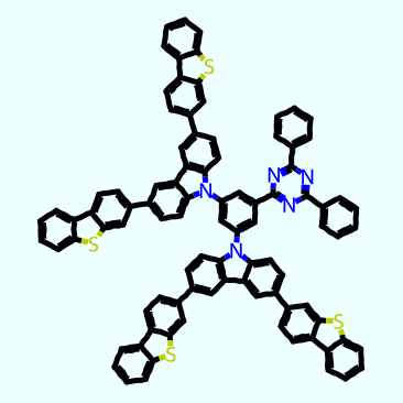 c1ccc(-c2nc(-c3ccccc3)nc(-c3cc(-n4c5ccc(-c6ccc7c(c6)sc6ccccc67)cc5c5cc(-c6ccc7c(c6)sc6ccccc67)ccc54)cc(-n4c5ccc(-c6ccc7c(c6)sc6ccccc67)cc5c5cc(-c6ccc7c(c6)sc6ccccc67)ccc54)c3)n2)cc1